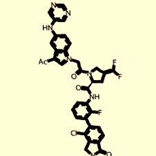 CC(=O)c1cn(CC(=O)N2CC(=C(F)F)C[C@H]2C(=O)Nc2cccc(-c3ccc4c(c3Cl)CNC4=O)c2F)c2ccc(Nc3cncnc3)cc12